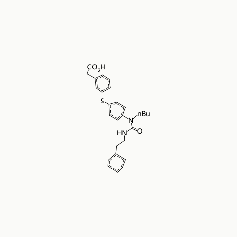 CCCCN(C(=O)NCCc1ccccc1)c1ccc(Sc2cccc(CC(=O)O)c2)cc1